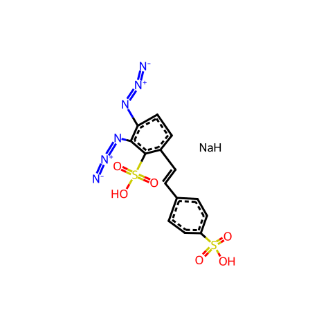 [N-]=[N+]=Nc1ccc(C=Cc2ccc(S(=O)(=O)O)cc2)c(S(=O)(=O)O)c1N=[N+]=[N-].[NaH]